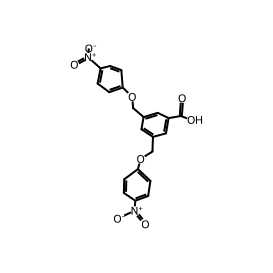 O=C(O)c1cc(COc2ccc([N+](=O)[O-])cc2)cc(COc2ccc([N+](=O)[O-])cc2)c1